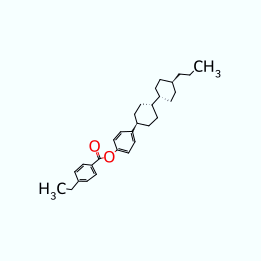 CCC[C@H]1CC[C@H]([C@H]2CC[C@H](c3ccc(OC(=O)c4ccc(CC)cc4)cc3)CC2)CC1